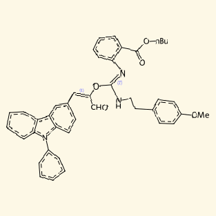 CCCCOC(=O)c1ccccc1/N=C(/NCCc1ccc(OC)cc1)O/C(C=O)=C/c1ccc2c(c1)c1ccccc1n2-c1ccccc1